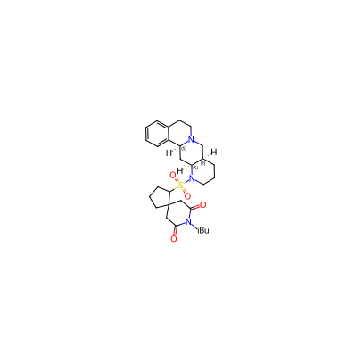 CCC(C)N1C(=O)CC2(CCCC2S(=O)(=O)N2CCC[C@@H]3CN4CCc5ccccc5[C@@H]4C[C@@H]32)CC1=O